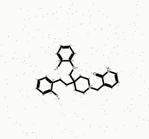 O=c1[nH]cccc1CN1CCC(CCc2ccccc2F)(COc2ccccc2F)CC1